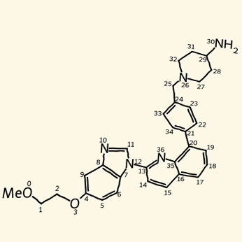 COCCOc1ccc2c(c1)ncn2-c1ccc2cccc(-c3ccc(CN4CCC(N)CC4)cc3)c2n1